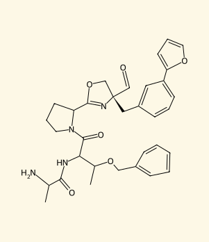 CC(N)C(=O)NC(C(=O)N1CCCC1C1=N[C@](C=O)(Cc2cccc(-c3ccco3)c2)CO1)C(C)OCc1ccccc1